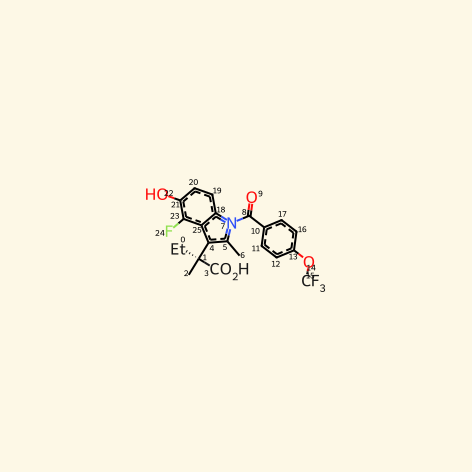 CC[C@@](C)(C(=O)O)c1c(C)n(C(=O)c2ccc(OC(F)(F)F)cc2)c2ccc(O)c(F)c12